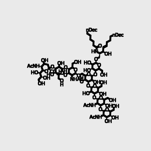 CCCCCCCCCCCCC/C=C/[C@@H](O)[C@H](CO[C@@H]1OC(CO)[C@@H](O[C@@H]2OC(CO[C@@H]3OC(CO)[C@@H](O[C@@H]4OC(CO)[C@H](O)[C@H](O[C@]5(C(=O)O)CC(O)[C@@H](NC(C)=O)C([C@H](O)[C@H](O)CO)O5)C4O)[C@H](O)C3NC(C)=O)[C@H](O)[C@H](O[C@H]3OC(CO)[C@H](O)[C@H](O[C@@H]4OC(CO)[C@H](O)[C@H](O[C@H]5OC(CO)[C@H](O)[C@H](O)C5NC(C)=O)C4NC(C)=O)C3O)C2O)[C@H](O)C1O)NC(=O)CCCCCCCCCCCCCCC